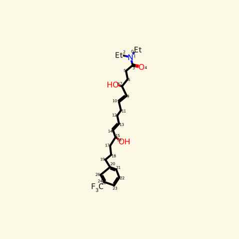 CCN(CC)C(=O)CCC(O)C=CCCC=CC(O)CCCc1cccc(C(F)(F)F)c1